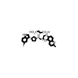 Cc1ccc2c3c(ccc2n1)OC[C@H](CN[C@@H]1CC[C@H](c2c[nH]c4ccc(F)cc24)C1)O3.O=C(O)/C=C/C(=O)O